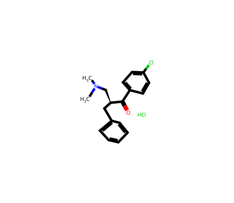 CN(C)C[C@H](Cc1ccccc1)C(=O)c1ccc(Cl)cc1.Cl